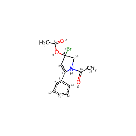 CC(=O)OC1(Br)C=C(c2ccccc2)N(C(C)=O)C1